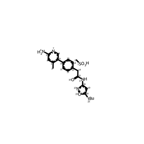 CS(=O)(=O)O.Cc1cc(N)ncc1-c1ccc(CC(=O)Nc2cc(C(C)(C)C)on2)cc1